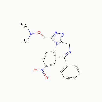 CN(C)OCc1nnc2n1-c1ccc([N+](=O)[O-])cc1C(c1ccccc1)=NC2